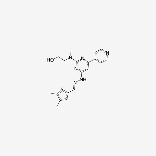 Cc1cc(C=NNc2cc(-c3ccncc3)nc(N(C)CCO)n2)sc1C